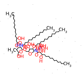 CCCCCCCCCCCC(O)CC(=O)NC1C(OCC2OC[C@@H](N(OP(=O)(O)O)C(=O)CC(O)CCCCCCCCCCC)C(OC(=O)CC(O)CCCCCCCCCCC)C2O)OC(CO)C(C)C1OC(=O)CC(O)CCCCCCCCCCC